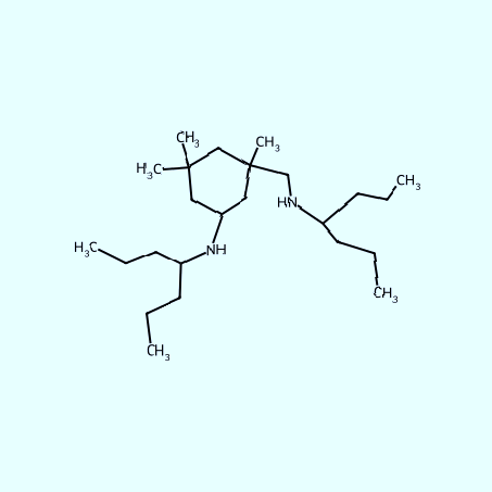 CCCC(CCC)NCC1(C)CC(NC(CCC)CCC)CC(C)(C)C1